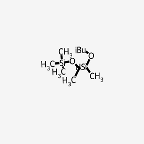 CCC(C)O[SiH](C)C(C)O[Si](C)(C)C